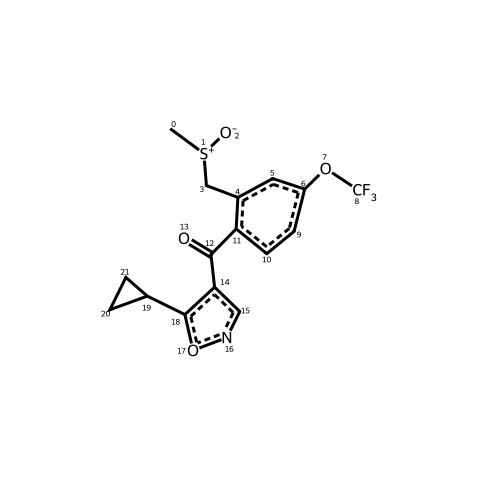 C[S+]([O-])Cc1cc(OC(F)(F)F)ccc1C(=O)c1cnoc1C1CC1